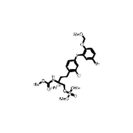 CCC[C@](CCc1ccc(Sc2cc(C(C)C)ccc2OCOC)cc1Cl)(COP(=O)(OC)OC)NC(=O)OC(C)(C)C